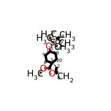 C=CC[C@]1(C(=O)OC)CC[C@@H](O[Si](C)(C)C(C)(C)C)CC1